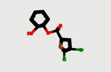 O=C(Oc1ccccc1O)c1cc(Br)c(Cl)s1